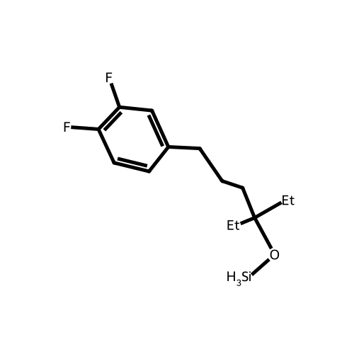 CCC(CC)(CCCc1ccc(F)c(F)c1)O[SiH3]